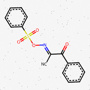 N#C/C(=N\OS(=O)(=O)c1ccccc1)C(=O)c1ccccc1